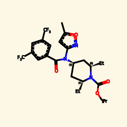 CC[C@@H]1C[C@H](N(C(=O)c2cc(C(F)(F)F)cc(C(F)(F)F)c2)c2cc(C)on2)C[C@H](CC)N1C(=O)OC(C)C